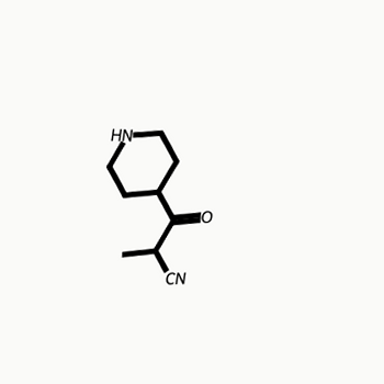 CC(C#N)C(=O)C1CCNCC1